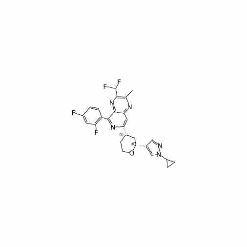 Cc1nc2cc([C@H]3CCO[C@@H](c4cnn(C5CC5)c4)C3)nc(-c3ccc(F)cc3F)c2nc1C(F)F